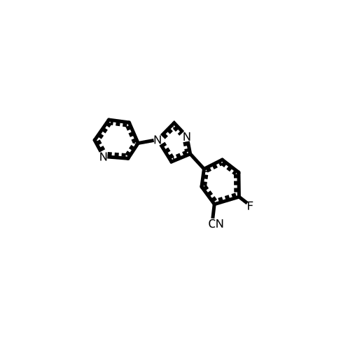 N#Cc1cc(-c2cn(-c3cccnc3)cn2)ccc1F